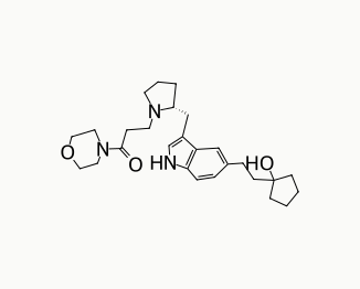 O=C(CCN1CCC[C@@H]1Cc1c[nH]c2ccc(CCC3(O)CCCC3)cc12)N1CCOCC1